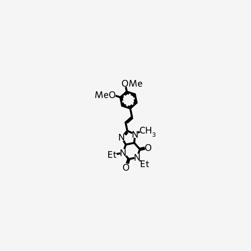 CCN1C(=O)C2C(N=C(/C=C/c3ccc(OC)c(OC)c3)N2C)N(CC)C1=O